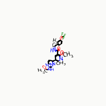 COc1nc(C)c(-c2ccc3nc(NC(C)=O)cn3n2)cc1C(=O)NC(C)c1cccc(OC(F)(F)F)c1